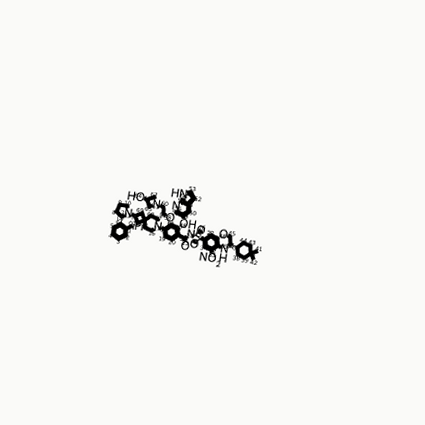 CC(C)c1ccccc1[C@@H]1CCCN1C1CC2(CCN(c3ccc(C(=O)NS(=O)(=O)c4cc5c(c([N+](=O)[O-])c4)N[C@@H](C4CCC(C)(C)CC4)CO5)c(Oc4cc5cc[nH]c5nc4OCCN4CC(O)C4)c3)CC2)C1